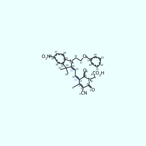 CC1=C(C#N)C(=O)N(CC(=O)O)C(=O)/C1=C\C=C1\N(CCOc2ccccc2)c2ccc([N+](=O)[O-])cc2C1(C)C